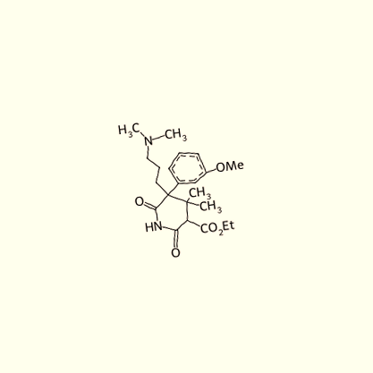 CCOC(=O)C1C(=O)NC(=O)C(CCCN(C)C)(c2cccc(OC)c2)C1(C)C